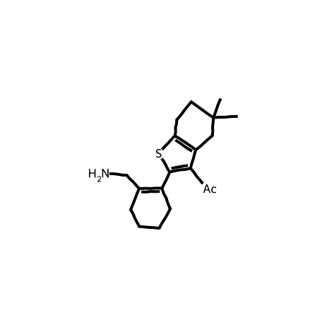 CC(=O)c1c(C2=C(CN)CCCC2)sc2c1CC(C)(C)CC2